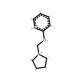 c1ccc(OCN2CCCC2)nc1